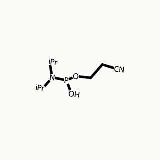 CC(C)N(C(C)C)P(O)OCCC#N